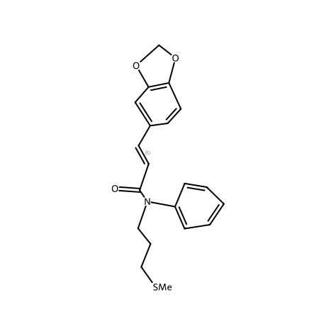 CSCCCN(C(=O)/C=C/c1ccc2c(c1)OCO2)c1ccccc1